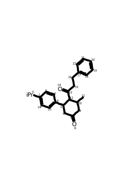 CC(C)c1ccc(C2CC(=O)CC(C)C2C(=O)CCc2ccccc2)cc1